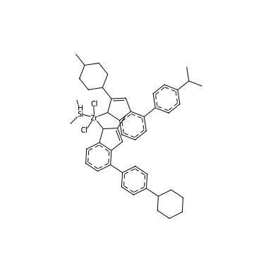 CC1=Cc2c(-c3ccc(C4CCCCC4)cc3)cccc2[CH]1[Zr]([Cl])([Cl])([CH]1C(C2CCC(C)CC2)=Cc2c(-c3ccc(C(C)C)cc3)cccc21)[SiH](C)C